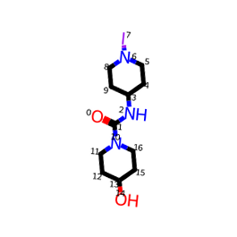 O=C(NC1CCN(I)CC1)N1CCC(O)CC1